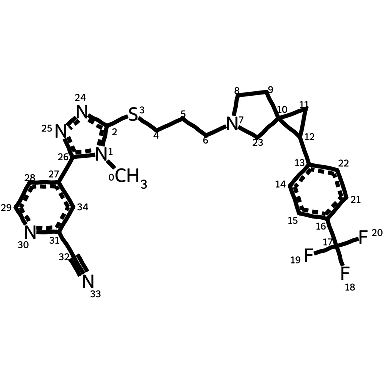 Cn1c(SCCCN2CCC3(CC3c3ccc(C(F)(F)F)cc3)C2)nnc1-c1ccnc(C#N)c1